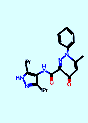 Cc1cc(=O)c(C(=O)Nc2c(C(C)C)n[nH]c2C(C)C)nn1-c1ccccc1